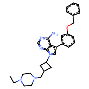 [CH2]CN1CCN(CC2CC(n3cc(-c4cccc(OCc5ccccc5)c4)c4c(N)ncnc43)C2)CC1